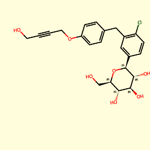 OCC#CCOc1ccc(Cc2cc([C@@H]3O[C@H](CO)[C@@H](O)[C@H](O)[C@H]3O)ccc2Cl)cc1